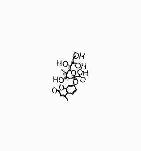 Cc1cc(=O)oc2cc(O[C@]3(C(=O)O)C[C@@H](O)[C@@H](C)C([C@H](O)[C@H](O)CO)O3)ccc12